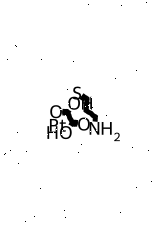 NCCC=S.O=C(O)C(=O)O.[Pt]